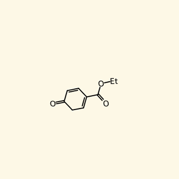 CCOC(=O)C1=CCC(=O)C=C1